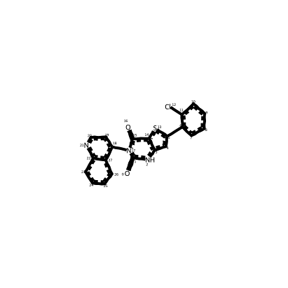 O=c1[nH]c2cc(-c3ccccc3Cl)sc2c(=O)n1-c1ccnc2ccccc12